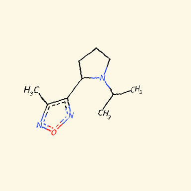 Cc1nonc1C1CCCN1C(C)C